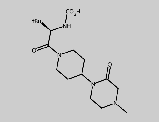 CN1CCN(C2CCN(C(=O)[C@H](NC(=O)O)C(C)(C)C)CC2)C(=O)C1